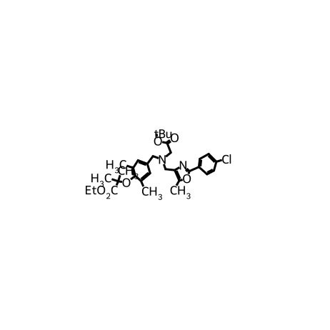 CCOC(=O)C(C)(C)Oc1c(C)cc(CN(CC(=O)OC(C)(C)C)Cc2nc(-c3ccc(Cl)cc3)oc2C)cc1C